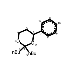 CCCCC1(CCCC)OC[CH]C(c2ccccc2)O1